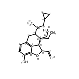 CCC[C@@]12c3c(ccc(O)c3OC1C=O)CC(N(C)CC1CC1)C2CC